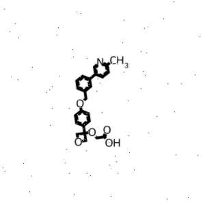 Cc1ccc(-c2cccc(COc3ccc(C4(OCC(=O)O)COC4)cc3)c2)cn1